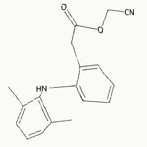 Cc1cccc(C)c1Nc1ccccc1CC(=O)OCC#N